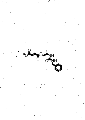 COC(=O)/C=C/C(=O)OC[C@H](C)NC(=O)NCc1ccccc1